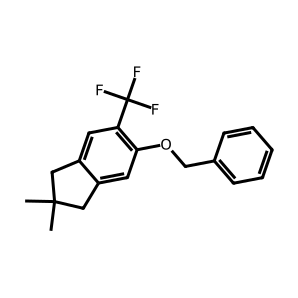 CC1(C)Cc2cc(OCc3ccccc3)c(C(F)(F)F)cc2C1